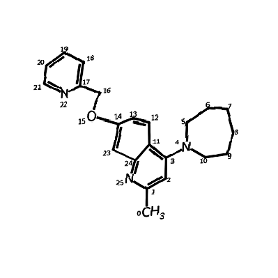 Cc1cc(N2CCCCCC2)c2ccc(OCc3ccccn3)cc2n1